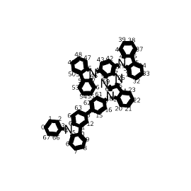 c1ccc(-n2c3ccccc3c3cc(-c4ccc(-n5c6ccccc6c6nc7c(-n8c9ccccc9c9ccccc98)ccc(-n8c9ccccc9c9ccccc98)c7nc65)cc4)ccc32)cc1